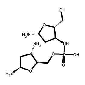 B[C@H]1C[C@H](NP(=O)(O)OC[C@H]2O[C@@H](B)C[C@@H]2N)[C@@H](CO)O1